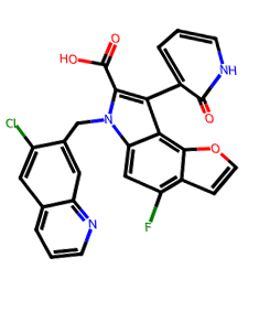 O=C(O)c1c(-c2ccc[nH]c2=O)c2c3occc3c(F)cc2n1Cc1cc2ncccc2cc1Cl